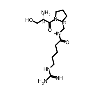 N=C(N)NCCCCC(=O)NC[C@@H]1CCCN1C(=O)[C@@H](N)CO